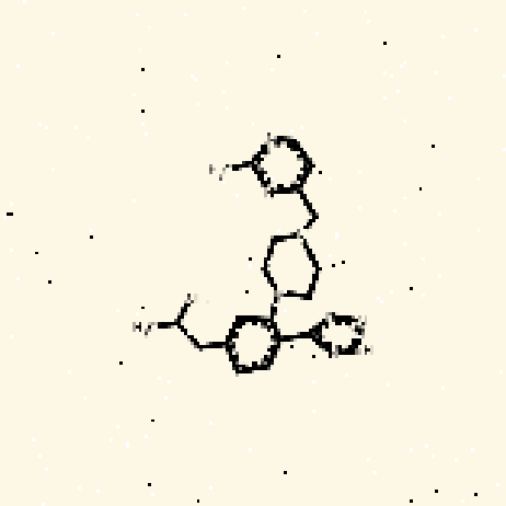 Cc1nccc(CN2CCN(c3cc(CC(C)C)ccc3-c3nn[nH]n3)CC2)n1